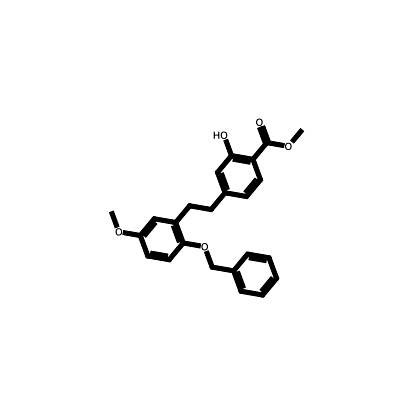 COC(=O)c1ccc(CCc2cc(OC)ccc2OCc2ccccc2)cc1O